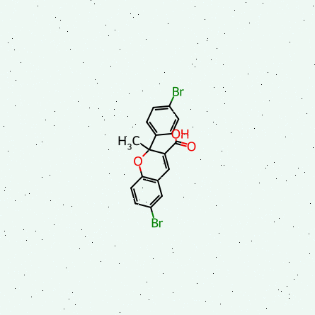 CC1(c2ccc(Br)cc2)Oc2ccc(Br)cc2C=C1C(=O)O